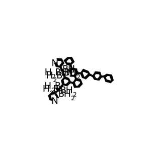 BC(B)(c1cccnc1)C(B)(B)c1cc(-c2ccccc2-c2cnc(-c3ccccc3)cc2-c2ccc(-c3ccc(-c4ccccc4)cc3)cc2)cc(C(B)(B)C(B)(B)c2cccnc2)c1